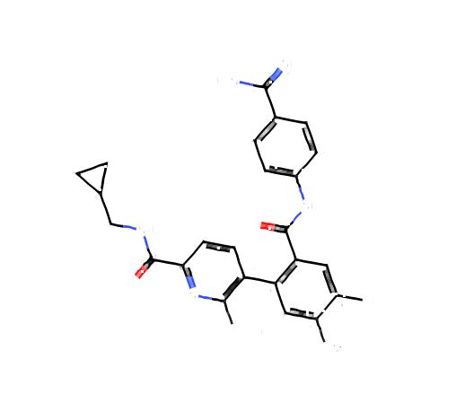 CCOC(=O)c1nc(C(=O)NCC2CC2)ccc1-c1cc(OC)c(C)cc1C(=O)Nc1ccc(C(=N)N)cc1